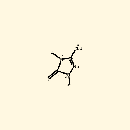 C=C1N(C)N=C(C(C)(C)C)N1C